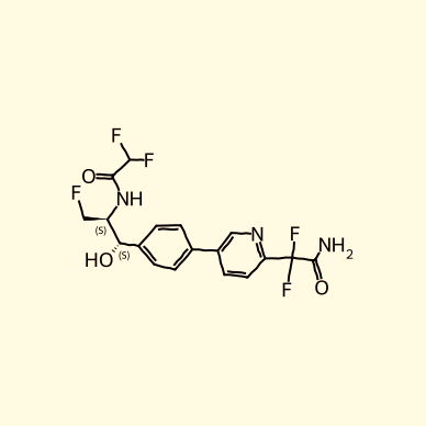 NC(=O)C(F)(F)c1ccc(-c2ccc([C@H](O)[C@@H](CF)NC(=O)C(F)F)cc2)cn1